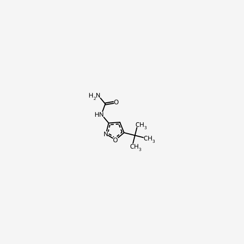 CC(C)(C)c1cc(NC(N)=O)no1